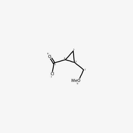 COCC1CC1C(=O)Cl